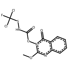 COc1nc2ccccc2c(=O)n1OC(=O)NSC(F)(Cl)Cl